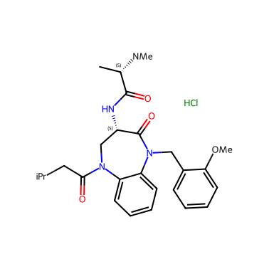 CN[C@@H](C)C(=O)N[C@H]1CN(C(=O)CC(C)C)c2ccccc2N(Cc2ccccc2OC)C1=O.Cl